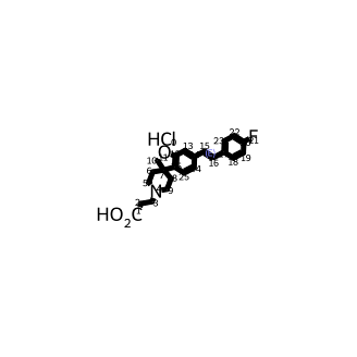 Cl.O=C(O)CCN1CCC2(CC1)COc1cc(/C=C/c3ccc(F)cc3)ccc12